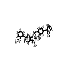 CC(C)c1ccccc1-c1ncc2c(n1)n(Cc1ccc(-c3cncn3C)cc1)c(=O)n2C